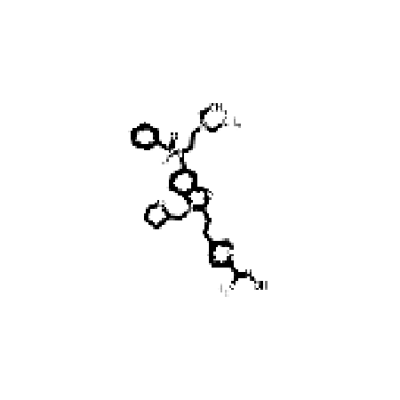 CCN(CC)CCN(c1ccc2c(c1)nc(CCc1ccc(C(N)=NO)cc1)n2CC1CCCO1)S(=O)(=O)c1ccccc1